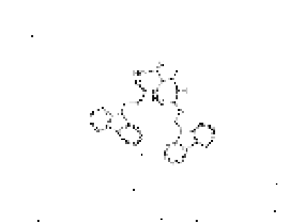 CC(NC(=O)OCC1c2ccccc2-c2ccccc21)C(NC(=O)OCC1c2ccccc2-c2ccccc21)C(=O)O